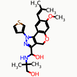 COc1cc2c(cc1C=C(C)C)-c1c(c(C(O)NC(C)(C)CO)nn1-c1ccsc1)CO2